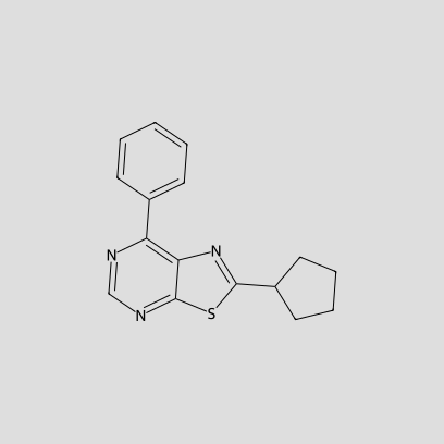 c1ccc(-c2ncnc3sc(C4CCCC4)nc23)cc1